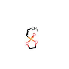 C/C=C\P1(=O)OCCO1